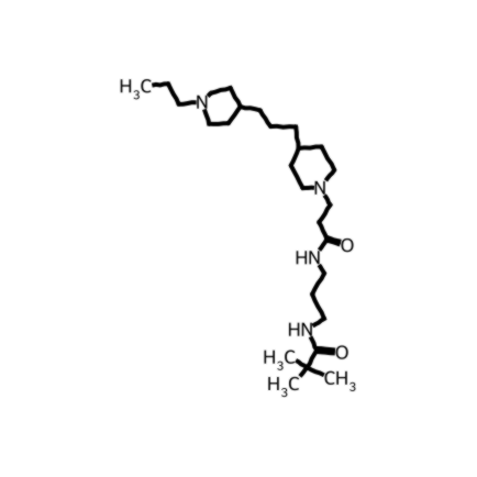 CCCN1CCC(CCCC2CCN(CCC(=O)NCCCNC(=O)C(C)(C)C)CC2)CC1